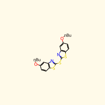 CCCCOc1ccc2sc(Sc3nc4cc(OCCCC)ccc4s3)nc2c1